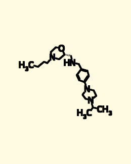 CCCCN1CCO[C@H](CNCc2ccc(N3CCN(C(C)C)CC3)cc2)C1